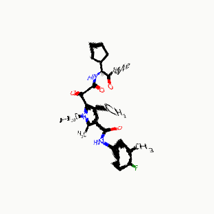 CNC(=O)[C@@H](NC(=O)C(=O)c1c(C)c(C(=O)Nc2ccc(F)c(C)c2)c(C)n1C)C1CCCC1